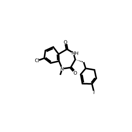 CN1C(=O)[C@@H](CC2C=CC(I)=CC2)NC(=O)c2ccc(Cl)cc21